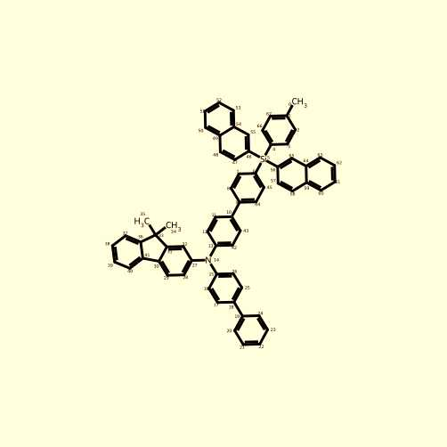 Cc1ccc([Si](c2ccc(-c3ccc(N(c4ccc(-c5ccccc5)cc4)c4ccc5c(c4)C(C)(C)c4ccccc4-5)cc3)cc2)(c2ccc3ccccc3c2)c2ccc3ccccc3c2)cc1